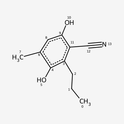 CCCc1c(O)c(C)cc(O)c1C#N